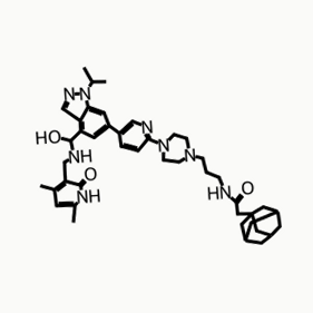 Cc1cc(C)c(CNC(O)c2cc(-c3ccc(N4CCN(CCCNC(=O)CC56CC7CC(CC(C7)C5)C6)CC4)nc3)cc3c2cnn3C(C)C)c(=O)[nH]1